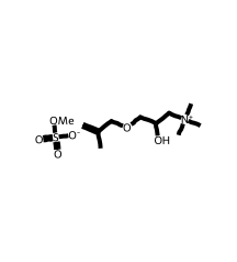 C=C(C)COCC(O)C[N+](C)(C)C.COS(=O)(=O)[O-]